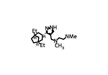 CC[C@]12CC[C@](CC)(C[C@H](c3n[nH]cc3CN(C)CCNC)C1)C2